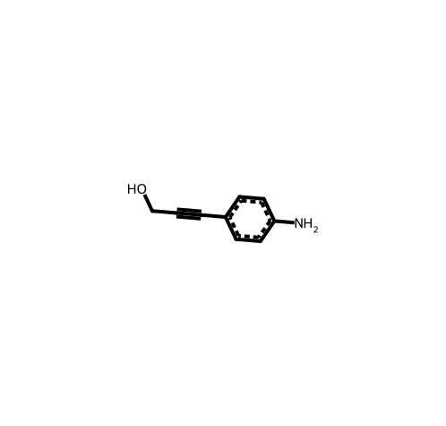 Nc1ccc(C#CCO)cc1